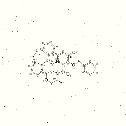 C[C@H]1COCC2N1C(=O)c1c(OCc3ccccc3)c(=O)ccn1N2C1c2ccccc2CCc2ccccc21